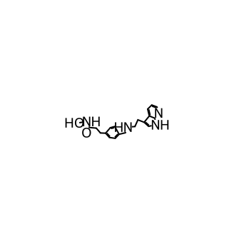 O=C(CCc1ccc(CNCCc2c[nH]c3ncccc23)cc1)NO